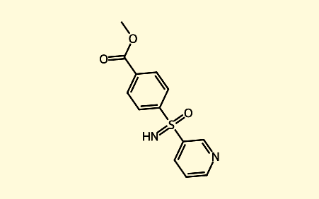 COC(=O)c1ccc(S(=N)(=O)c2cccnc2)cc1